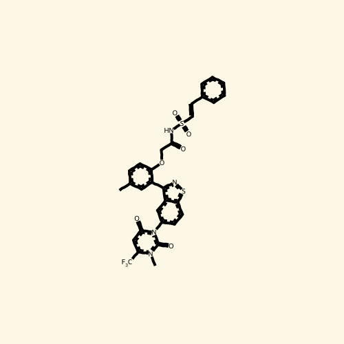 Cc1ccc(OCC(=O)NS(=O)(=O)C=Cc2ccccc2)c(-c2nsc3ccc(-n4c(=O)cc(C(F)(F)F)n(C)c4=O)cc23)c1